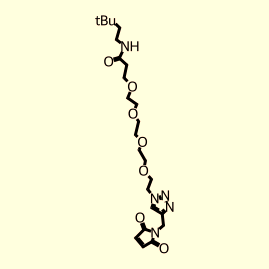 CC(C)(C)CCNC(=O)CCOCCOCCOCCOCCn1cc(CN2C(=O)C=CC2=O)nn1